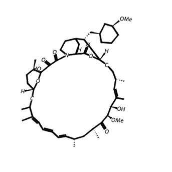 CO[C@H]1CCC[C@@H](C[C@H]2C3CCN4C(=O)C(=O)[C@]5(O)O[C@@H](CC[C@H]5C)CC(C)/C(C)=C/C=C/C=C/[C@@H](C)C[C@@H](C)C(=O)[C@H](OC)[C@H](O)/C(C)=C/[C@@H](C)CC[C@@H]2OC(=O)[C@@H]4C3)C1